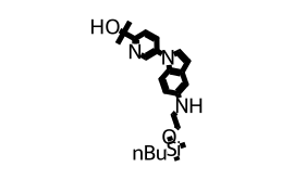 CCCC[Si](C)(C)OCCNc1ccc2c(ccn2-c2ccc(C(C)(C)O)nc2)c1